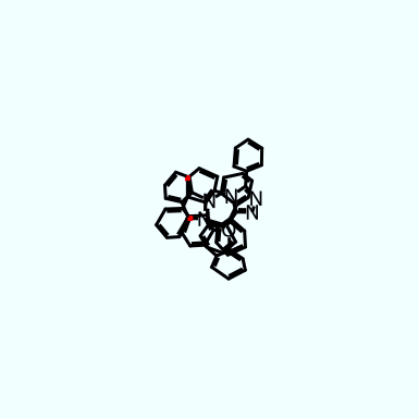 c1ccc(-c2nnc(-c3ccccc3)n2-c2cccc3c4ccccc4n(-c4ccccc4-c4ccccc4-n4c5ccccc5c5ccc6c7ccccc7oc6c54)c23)cc1